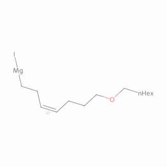 CCCCCCCOCCC/C=C\C[CH2][Mg][I]